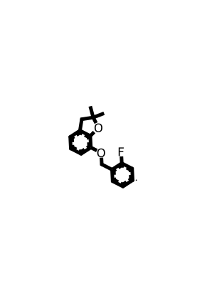 CC1(C)Cc2cccc(OCc3cc[c]cc3F)c2O1